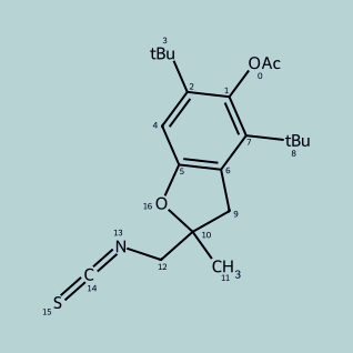 CC(=O)Oc1c(C(C)(C)C)cc2c(c1C(C)(C)C)CC(C)(CN=C=S)O2